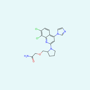 NC(=O)COCC1CCCN1c1cc(-n2ccnc2)c2ccc(Cl)c(Cl)c2n1